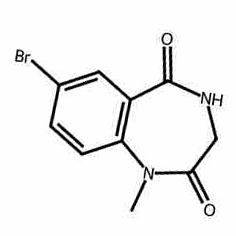 CN1C(=O)CNC(=O)c2cc(Br)ccc21